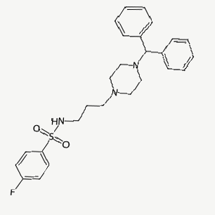 O=S(=O)(NCCCN1CCN(C(c2ccccc2)c2ccccc2)CC1)c1ccc(F)cc1